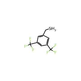 FC(F)(F)c1cc(C[SiH3])cc(C(F)(F)F)c1